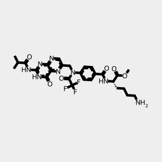 COC(=O)[C@H](CCCCN)NC(=O)c1ccc(N(Cc2cnc3nc(NC(=O)C(C)C)[nH]c(=O)c3n2)C(=O)C(F)(F)F)cc1